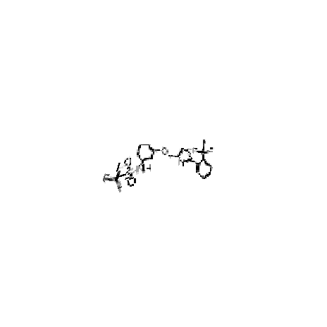 O=S(=O)(Nc1cccc(OCc2csc(-c3ccccc3C(F)(F)F)n2)c1)C(F)(F)F